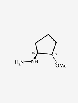 CO[C@H]1CCC[C@@H]1NN